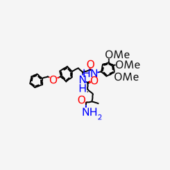 COc1cc(NC(=O)C(Cc2ccc(OCc3ccccc3)cc2)NC(=O)[CH]CC(C)C(N)=O)cc(OC)c1OC